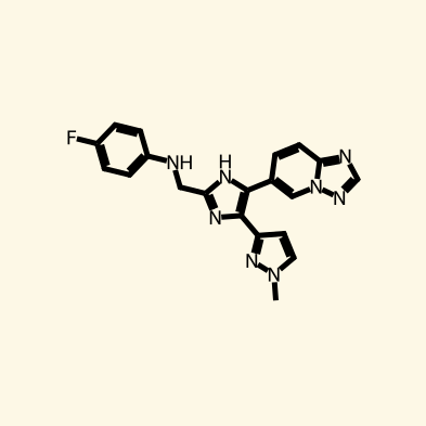 Cn1ccc(-c2nc(CNc3ccc(F)cc3)[nH]c2-c2ccc3ncnn3c2)n1